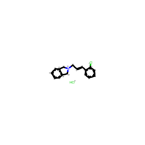 Cl.Clc1ccccc1C=CCN1Cc2ccccc2C1